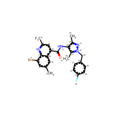 Cc1cc(Br)c2nc(C(F)(F)F)cc(C(=O)Nc3c(C)nn(Cc4ccc(F)cc4)c3C)c2c1